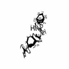 FC(F)Oc1ccc2nc(NN3NC[C@]4(CC5CCC4CC5)O3)sc2c1